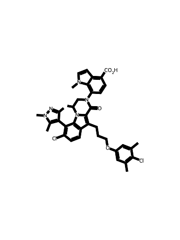 Cc1cc(OCCCc2c3n(c4c(-c5c(C)nn(C)c5C)c(Cl)ccc24)C(C)CN(c2ccc(C(=O)O)c4ccn(C)c24)C3=O)cc(C)c1Cl